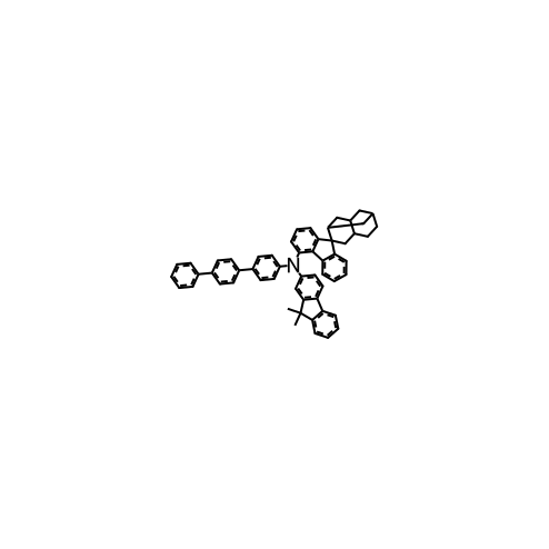 CC1(C)c2ccccc2-c2ccc(N(c3ccc(-c4ccc(-c5ccccc5)cc4)cc3)c3cccc4c3-c3ccccc3C43CC4CCC5CC4CC3C5)cc21